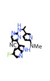 [C-]#[N+]c1cnc(NC(C)c2ccc(NC)nc2)nc1-c1c[nH]c2ncc(F)cc12